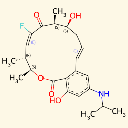 CC(C)Nc1cc(O)c2c(c1)/C=C/C[C@H](O)[C@H](C)C(=O)/C(F)=C\[C@@H](C)[C@H](C)OC2=O